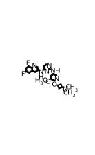 COc1cc(Nc2nccc(Nc3cnc4c(F)cc(F)cc4c3)n2)cnc1OC1CC(N(C)C)C1